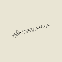 CCCCCCCCCCCCCCCCCCCCCCO[SiH2]C1CCCCO1